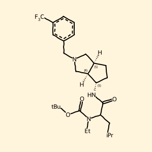 CCN(C(=O)OC(C)(C)C)C(CC(C)C)C(=O)N[C@H]1CC[C@@H]2CN(Cc3cccc(C(F)(F)F)c3)C[C@@H]21